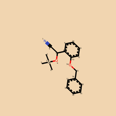 C[Si](C)(C)OC(C#N)c1ccccc1OCc1ccccc1